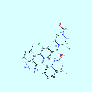 C/N=C(\c1cc(F)c(-c2c(C)ccc(N)c2C=N)nc1N(C=O)C1C(C)=CC=CC1C(C)C)N1CCN(C=O)CC1C